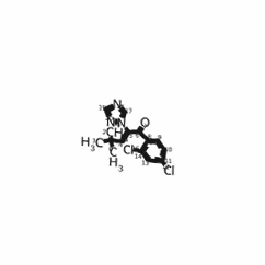 CC(C)(C)C=C(C(=O)c1ccc(Cl)cc1Cl)n1cncn1